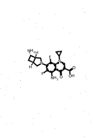 Nc1c(F)c(N2C[C@@H]3C[C@H](N)[C@@H]3C2)c(F)c2c1c(=O)c(C(=O)O)cn2C1CC1